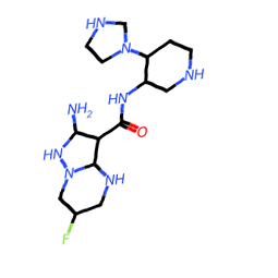 NC1NN2CC(F)CNC2C1C(=O)NC1CNCCC1N1CCNC1